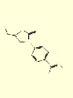 CC(=O)NCC1CN(c2ccc(C(C)=NN)cc2)C(=O)O1